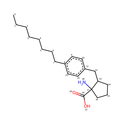 CCCCCCCCc1ccc(CC2CCCC2(N)C(=O)O)cc1